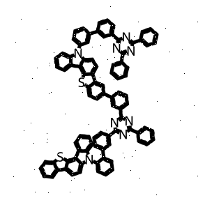 c1ccc(-c2nc(-c3ccccc3)nc(-c3cccc(-c4cccc(-n5c6ccccc6c6c7sc8ccc(-c9cccc(-c%10nc(-c%11ccccc%11)nc(-c%11cccc(-c%12ccccc%12-n%12c%13ccccc%13c%13c%14sc%15ccccc%15c%14ccc%13%12)c%11)n%10)c9)cc8c7ccc65)c4)c3)n2)cc1